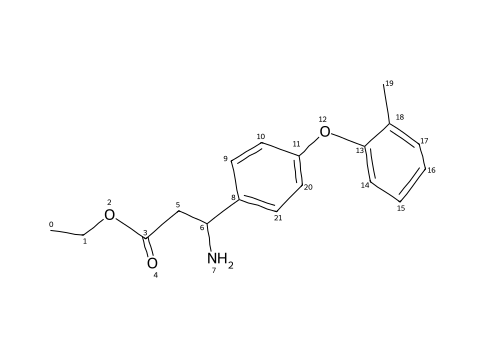 CCOC(=O)CC(N)c1ccc(Oc2ccccc2C)cc1